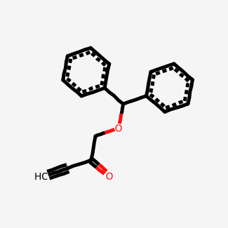 C#CC(=O)COC(c1ccccc1)c1ccccc1